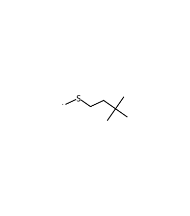 [CH2]SCCC(C)(C)C